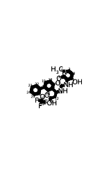 Cn1ccc(O)c(NC(=O)NC(CC(=O)O)c2cccc(-c3ccccc3OC(F)(F)F)c2)c1=O